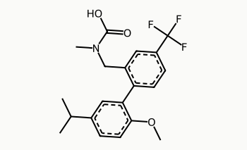 COc1ccc(C(C)C)cc1-c1ccc(C(F)(F)F)cc1CN(C)C(=O)O